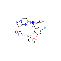 C#C[C@H]1Nc2ccn3ncc(c3n2)C(=O)NC[C@@]2(C)COc3cc(F)cc1c3O2